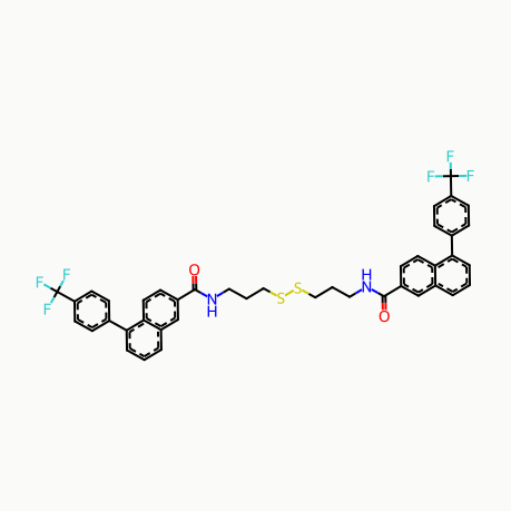 O=C(NCCCSSCCCNC(=O)c1ccc2c(-c3ccc(C(F)(F)F)cc3)cccc2c1)c1ccc2c(-c3ccc(C(F)(F)F)cc3)cccc2c1